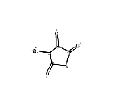 CCCCC1C(=O)CC(=O)C1=O